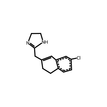 Clc1ccc2c(c1)C=C(CC1=NCCN1)CC2